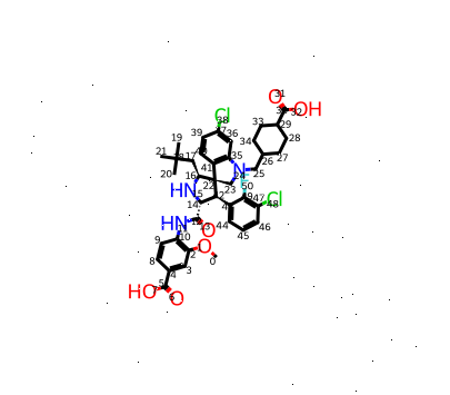 COc1cc(C(=O)O)ccc1NC(=O)[C@@H]1N[C@@H](CC(C)(C)C)[C@@]2(CN(CC3CCC(C(=O)O)CC3)c3cc(Cl)ccc32)[C@H]1c1cccc(Cl)c1F